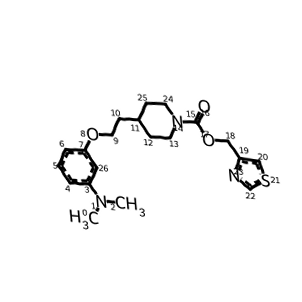 CN(C)c1cccc(OCCC2CCN(C(=O)OCc3cscn3)CC2)c1